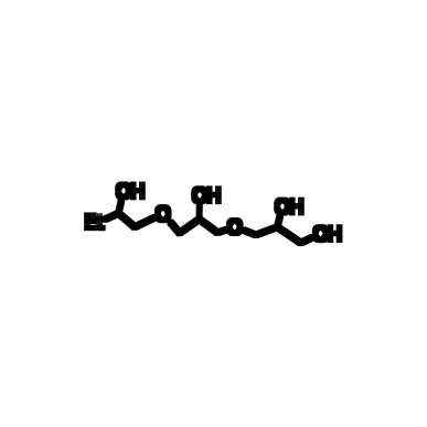 CCC(O)COCC(O)COCC(O)CO